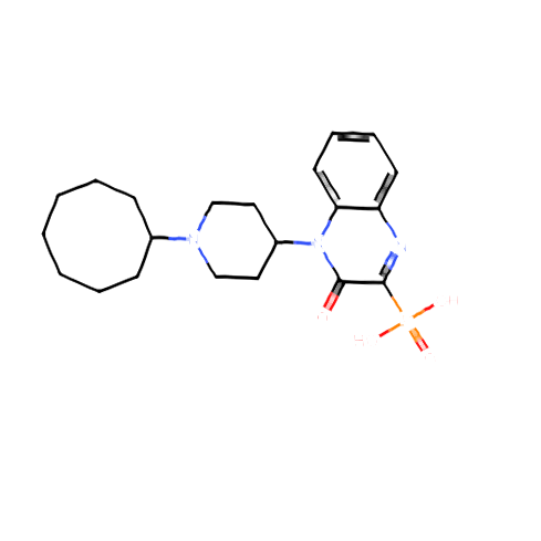 O=c1c(P(=O)(O)O)nc2ccccc2n1C1CCN(C2CCCCCCC2)CC1